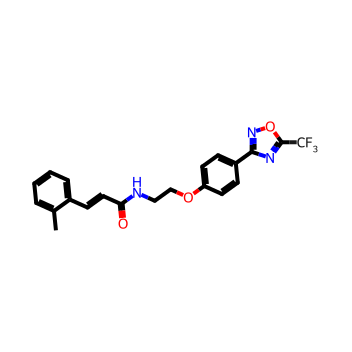 Cc1ccccc1/C=C/C(=O)NCCOc1ccc(-c2noc(C(F)(F)F)n2)cc1